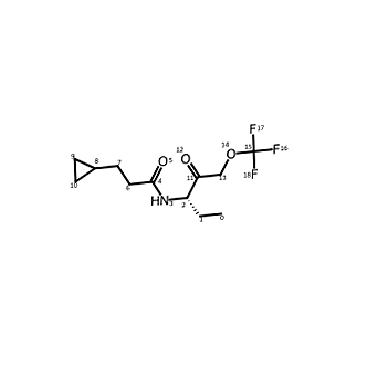 CC[C@H](NC(=O)CCC1CC1)C(=O)COC(F)(F)F